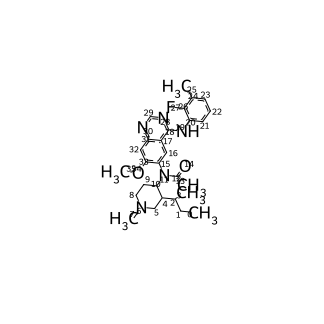 CCC(C)C1CN(C)CCC1N(C(C)=O)c1cc2c(Nc3cccc(C)c3F)ncnc2cc1OC